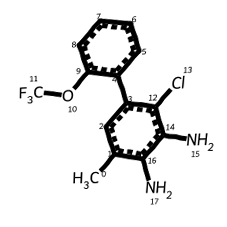 Cc1cc(-c2ccccc2OC(F)(F)F)c(Cl)c(N)c1N